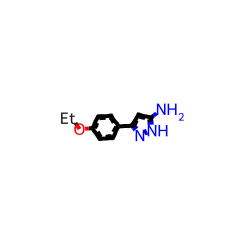 CCOc1ccc(-c2cc(N)[nH]n2)cc1